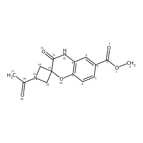 COC(=O)c1ccc2c(c1)NC(=O)C1(CN(C(C)=O)C1)O2